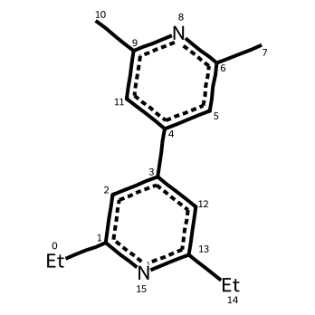 CCc1cc(-c2cc(C)nc(C)c2)cc(CC)n1